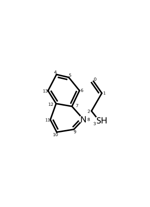 C=CCS.c1ccc2ncccc2c1